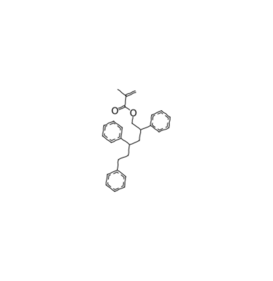 C=C(C)C(=O)OCC(CC(CCc1ccccc1)c1ccccc1)c1ccccc1